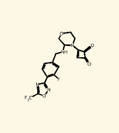 O=c1cc(N2CCOCC2NCc2ccc(-c3noc(C(F)(F)F)n3)c(F)c2)c1=O